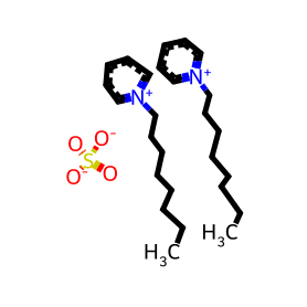 CCCCCCCC[n+]1ccccc1.CCCCCCCC[n+]1ccccc1.O=S(=O)([O-])[O-]